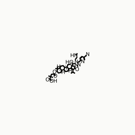 CNCCn1c(-c2ccc(C#N)cn2)nnc1[C@H](O)[C@@]12CC[C@]3(C)[C@H](CC[C@@H]4[C@@]5(C)CC[C@H](OC(=O)CC(C)(C)C(=O)O)C(C)(C)[C@@H]5CC[C@]43C)C1=C(C(C)C)C(=O)C2